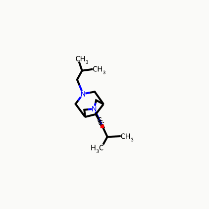 CC(C)CN1CC2CN(C(C)C)CC(C1)C21CCCCC1